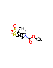 CC(C)(C)OC(=O)N1CC(C(C)(C)[SH](=O)=O)C1